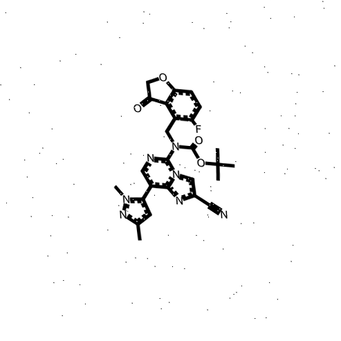 Cc1cc(-c2cnc(N(Cc3c(F)ccc4c3C(=O)CO4)C(=O)OC(C)(C)C)n3cc(C#N)nc23)n(C)n1